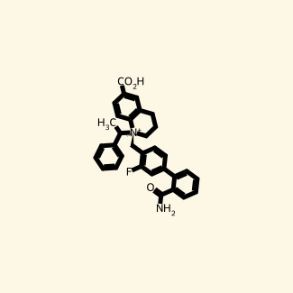 CC(c1ccccc1)[N@@+]1(Cc2ccc(-c3ccccc3C(N)=O)cc2F)CCCc2cc(C(=O)O)ccc21